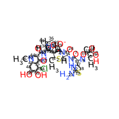 C[C@@H]1S[C@@H]2[C@H](NC(=O)/C(=N\OC(C)(C)C(=O)O)c3csc(N)n3)C(=O)N2C(C(=O)[O-])=C1C[N+]1(C)[C@@H]2CC[C@H]1CC(NC(=O)c1cn(C)c3cc(O)c(O)c(Cl)c3c1=O)C2